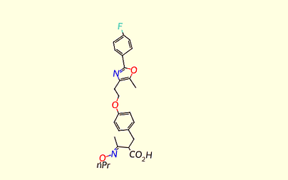 CCCO/N=C(\C)C(Cc1ccc(OCCc2nc(-c3ccc(F)cc3)oc2C)cc1)C(=O)O